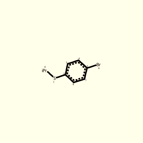 CC(C)Sc1ccc(Br)cc1